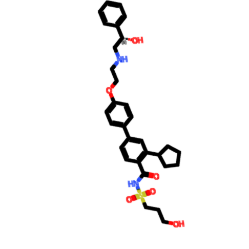 O=C(NS(=O)(=O)CCCO)c1ccc(-c2ccc(OCCNC[C@@H](O)c3ccccc3)cc2)cc1C1CCCC1